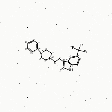 Cc1[nH]c2ccc(C(F)(F)F)cc2c1CCN1CCN(c2ccccc2)CC1